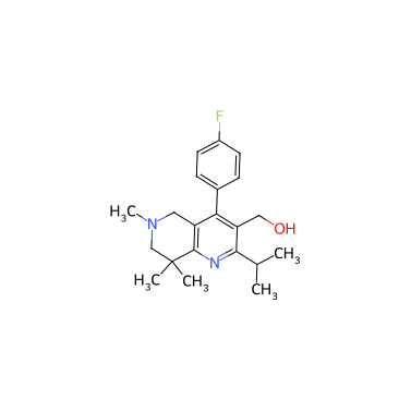 CC(C)c1nc2c(c(-c3ccc(F)cc3)c1CO)CN(C)CC2(C)C